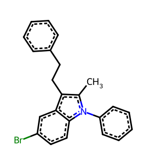 Cc1c(CCc2ccccc2)c2cc(Br)ccc2n1-c1ccccc1